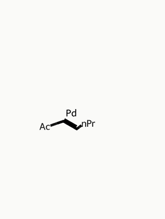 CCCC=CC(C)=O.[Pd]